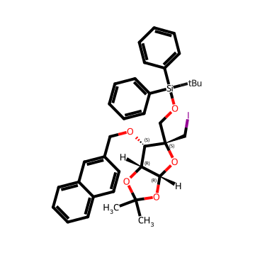 CC1(C)O[C@H]2O[C@@](CI)(CO[Si](c3ccccc3)(c3ccccc3)C(C)(C)C)[C@@H](OCc3ccc4ccccc4c3)[C@H]2O1